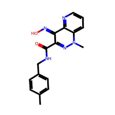 Cc1ccc(CNC(=O)c2nn(C)c3cccnc3/c2=N/O)cc1